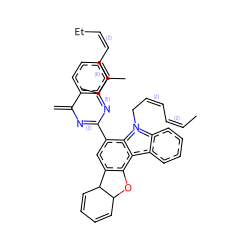 C=C(\N=C(/N=C(C)/C(C)=C/C=C\CC)c1cc2c(c3c4ccccc4n(C/C=C\C=C/C)c13)OC1C=CC=CC21)c1ccccc1